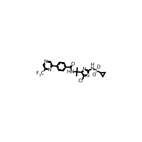 CC(C)(NC(=O)c1ccc(-c2cncc(C(F)(F)F)n2)cc1)c1nc(NS(=O)(=O)C2CC2)sc1Cl